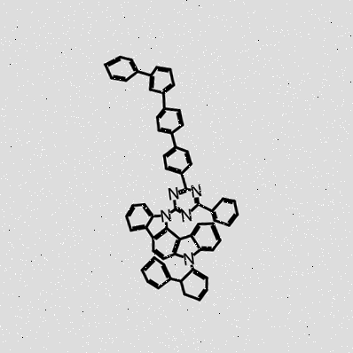 C1=CCC(c2ccccc2)C(n2c3ccccc3c3c2ccc2c4ccccc4n(-c4nc(-c5ccccc5)nc(-c5ccc(-c6ccc(-c7cccc(-c8ccccc8)c7)cc6)cc5)n4)c23)=C1